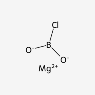 [Mg+2].[O-]B([O-])Cl